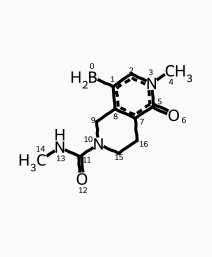 Bc1cn(C)c(=O)c2c1CN(C(=O)NC)CC2